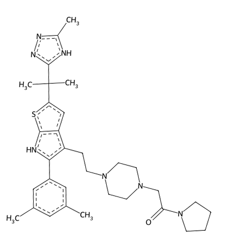 Cc1cc(C)cc(-c2[nH]c3sc(C(C)(C)c4nnc(C)[nH]4)cc3c2CCN2CCN(CC(=O)N3CCCC3)CC2)c1